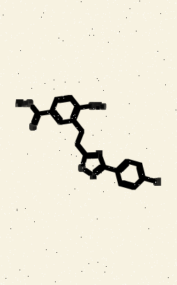 COC(=O)c1ccc(OC)c(CCc2nc(-c3ccc(Cl)cc3)no2)c1